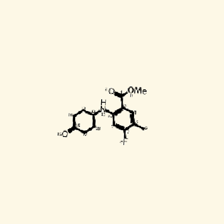 COC(=O)c1cc(C)c(F)cc1NC1CCC(=O)CC1